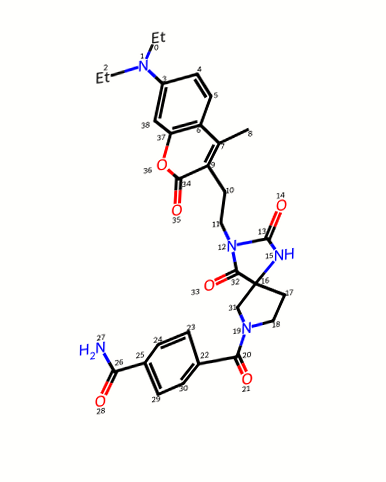 CCN(CC)c1ccc2c(C)c(CCN3C(=O)NC4(CCN(C(=O)c5ccc(C(N)=O)cc5)C4)C3=O)c(=O)oc2c1